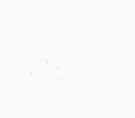 Oc1nc(Oc2ccc(OC3CCCC3)cc2)nc2cnccc12